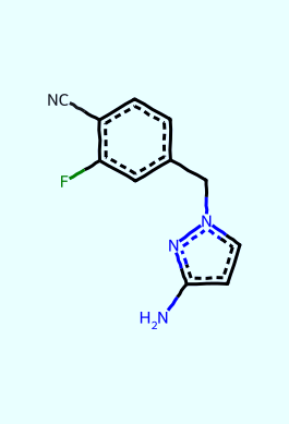 N#Cc1ccc(Cn2ccc(N)n2)cc1F